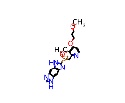 COCCCOc1ccnc(C[S+]([O-])c2nc3cc4[nH]cnc4cc3[nH]2)c1C